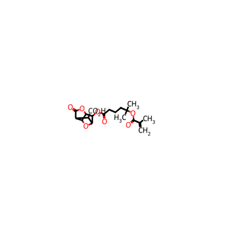 C=C(C)C(=O)OC(C)(C)CCCC(=O)OC1C2OC(=O)C3C2OC1C3C(=O)O